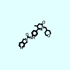 CC1CC(=O)N(CC2CCOCC2)N=C1c1ccc(NC(=O)N2Cc3ccncc3C2)cc1